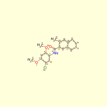 COc1cc(OC)c(NC(=O)c2cc3ccccc3cc2C)cc1Cl